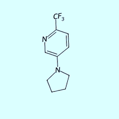 FC(F)(F)c1ccc(N2CCCC2)cn1